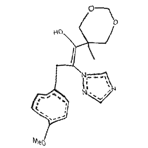 COc1ccc(CC(=C(O)C2(C)COCOC2)n2cncn2)cc1